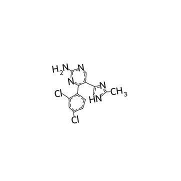 Cc1nc(-c2cnc(N)nc2-c2ccc(Cl)cc2Cl)c[nH]1